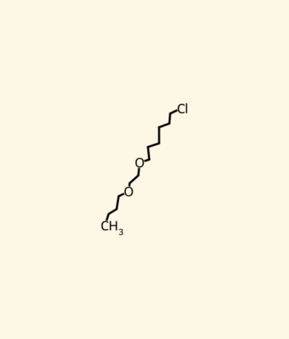 CCCCOCCOCCCCCCCl